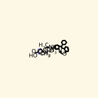 C/C=C(\C=C/C(C)NCC(C)(C)NC(=O)c1ccc2c(C3CCCCC3)c3n(c2c1)CCOc1ccccc1-3)C(=O)O